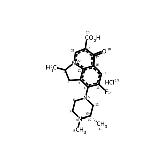 CC1Cc2c(N3CCN(C)[C@@H](C)C3)c(F)cc3c(=O)c(C(=O)O)cn1c23.Cl